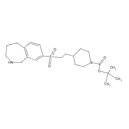 CC(C)(C)OC(=O)N1CCC(CCS(=O)(=O)c2ccc3c(c2)CNCCC3)CC1